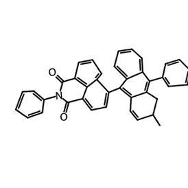 CC1C=Cc2c(c(-c3ccccc3)c3ccccc3c2-c2ccc3c4c(cccc24)C(=O)N(c2ccccc2)C3=O)C1